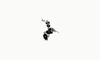 CN1CCN(C2CCC(n3cc(-c4ccc(Oc5c(F)cccc5F)cc4)c4c(N)ncnc43)CC2)CC1